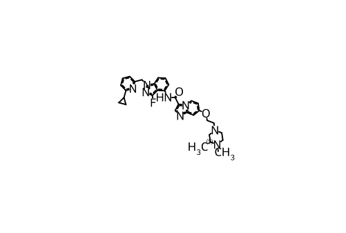 C[C@H]1CN(CCOc2ccn3c(C(=O)Nc4cccc5c4c(F)nn5Cc4cccc(C5CC5)n4)cnc3c2)CCN1C